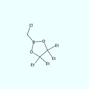 CCC1(CC)OB(CCl)OC1(CC)CC